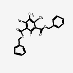 Cc1c(C#N)c(C(=O)OCc2ccccc2)c(I)c(C(=O)OCc2ccccc2)c1C#N